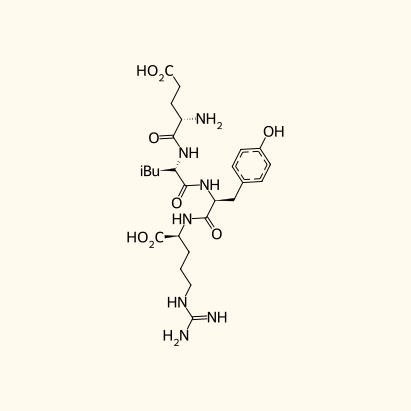 CC[C@H](C)[C@H](NC(=O)[C@@H](N)CCC(=O)O)C(=O)N[C@@H](Cc1ccc(O)cc1)C(=O)N[C@@H](CCCNC(=N)N)C(=O)O